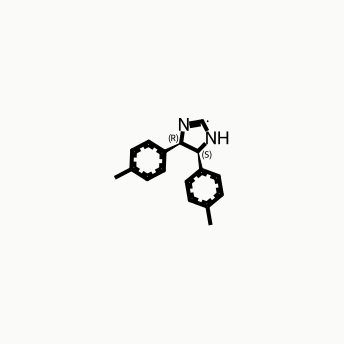 Cc1ccc([C@H]2N=[C]N[C@H]2c2ccc(C)cc2)cc1